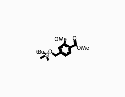 COC(=O)c1ccc(CO[Si](C)(C)C(C)(C)C)cc1OC